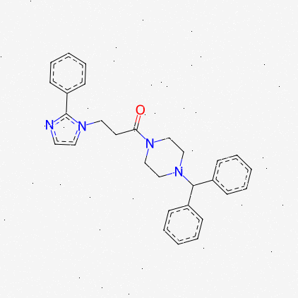 O=C(CCn1ccnc1-c1ccccc1)N1CCN(C(c2ccccc2)c2ccccc2)CC1